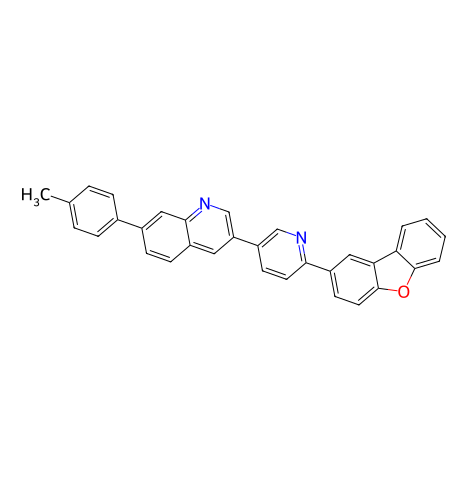 Cc1ccc(-c2ccc3cc(-c4ccc(-c5ccc6oc7ccccc7c6c5)nc4)cnc3c2)cc1